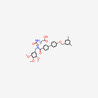 COc1cc(CN(C(=O)c2ccc(-c3ccc(OCc4cc(C)cc(C)c4)cc3)cc2)[C@@H](CCC(=O)O)C(N)=O)cc(OC)c1OC